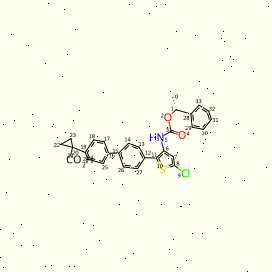 C[C@@H](OC(=O)Nc1cc(Cl)sc1-c1ccc(-c2ccc(C3(C(=O)O)CC3)cc2)cc1)c1ccccc1